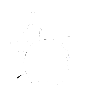 CCCCONC1/C=C/CC/C=C/C[C@@H](C(C)C)OC(=O)c2c(O)cc(O)c(Cl)c2C1